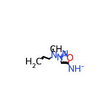 C=CCN(C)[n+]1cc([NH-])on1